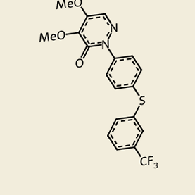 COc1cnn(-c2ccc(Sc3cccc(C(F)(F)F)c3)cc2)c(=O)c1OC